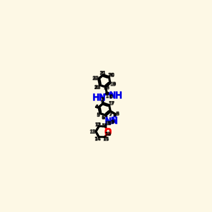 N=C(Nc1ccc2c(cnn2C2CCCCO2)c1)c1ccccc1